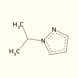 CC(C)n1[c]ccn1